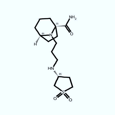 NC(=O)[C@]12C[CH]C[C@H](CC1)N2CCCN[C@@H]1CCS(=O)(=O)C1